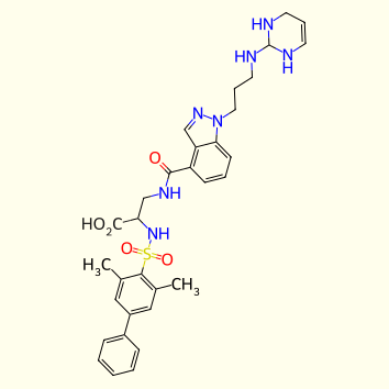 Cc1cc(-c2ccccc2)cc(C)c1S(=O)(=O)NC(CNC(=O)c1cccc2c1cnn2CCCNC1NC=CCN1)C(=O)O